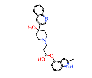 Cc1cc2c(OC(O)CCN3CCC(O)(c4cnc5ccccc5c4)CC3)cccc2[nH]1